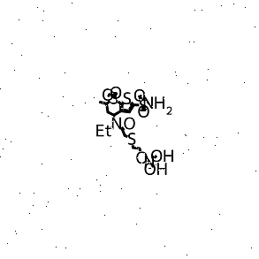 CCN(C(=O)CSCCON(O)O)[C@H]1CC(C)S(=O)(=O)c2sc(S(N)(=O)=O)cc21